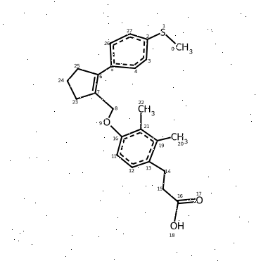 CSc1ccc(C2=C(COc3ccc(CCC(=O)O)c(C)c3C)CCC2)cc1